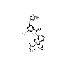 Cn1cnnc1[C@@H](F)C1(c2cccc(N3Cc4c(cc(Oc5cn[nH]c5)cc4C(F)(F)F)C3=O)c2)COC1